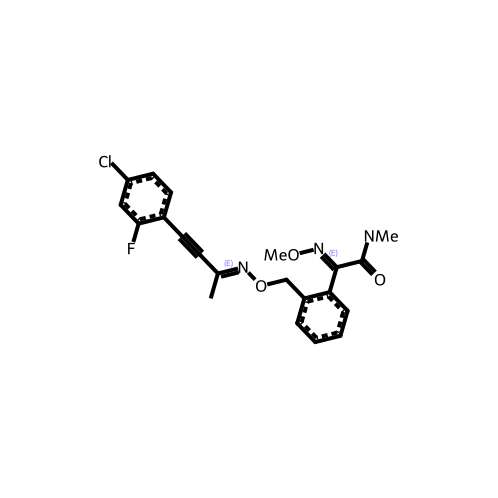 CNC(=O)/C(=N/OC)c1ccccc1CO/N=C(\C)C#Cc1ccc(Cl)cc1F